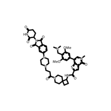 COc1cc(-c2cn(C)c(=O)c3cc(C(=O)NC4CCC45CCN(C(=O)CCN4CCN(c6ccc7c(c6)C(=O)N(C6CCC(=O)NC6=O)C7=O)CC4)CC5)sc23)cc(OC)c1CN(C)C